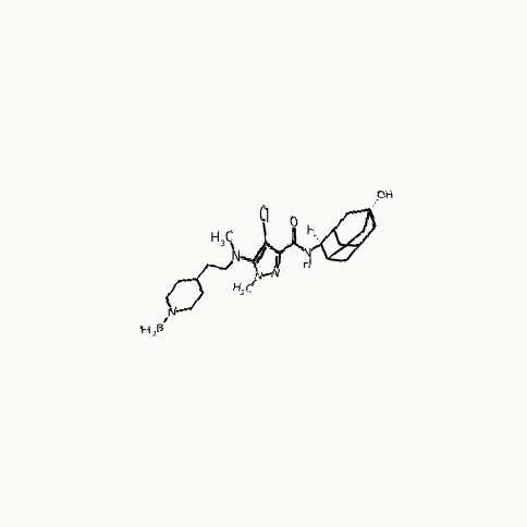 BN1CCC(CCN(C)c2c(Cl)c(C(=O)N[C@H]3C4CC5CC3C[C@](O)(C5)C4)nn2C)CC1